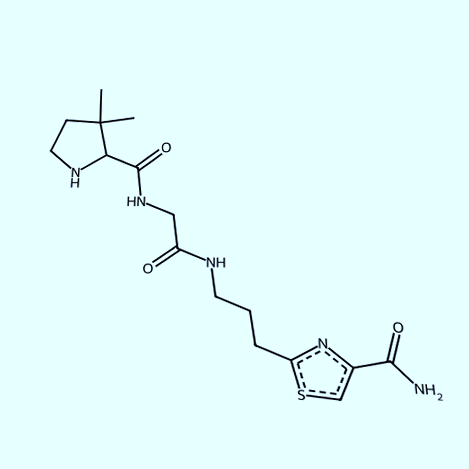 CC1(C)CCNC1C(=O)NCC(=O)NCCCc1nc(C(N)=O)cs1